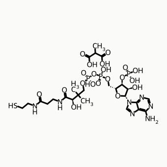 CC(C(=O)O)C(=O)O.CC(C)(COP(=O)(O)OP(=O)(O)OC[C@H]1O[C@@H](n2cnc3c(N)ncnc32)[C@H](O)[C@@H]1OP(=O)(O)O)[C@@H](O)C(=O)NCCC(=O)NCCS